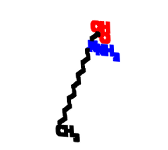 CCCCCCCCCCCCCCN(N)CC(=O)O